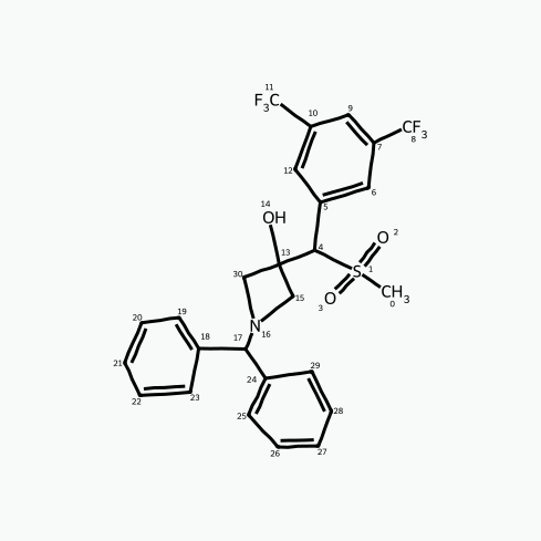 CS(=O)(=O)C(c1cc(C(F)(F)F)cc(C(F)(F)F)c1)C1(O)CN(C(c2ccccc2)c2ccccc2)C1